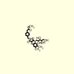 COC(=O)Cc1ccc(CNC(=O)c2nc3cc(C)c(C)cc3n(C[C@H](O)[C@H](O)[C@H](O)CO)c2=O)cc1